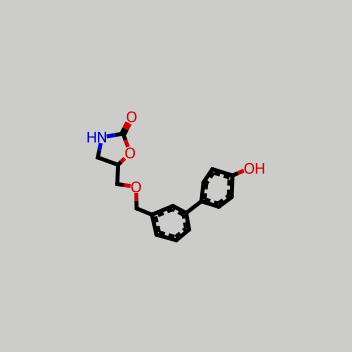 O=C1NCC(COCc2cccc(-c3ccc(O)cc3)c2)O1